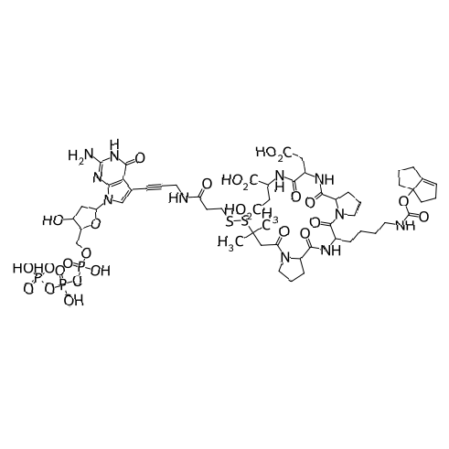 CC(C)(CC(=O)N1CCCC1C(=O)NC(CCCCNC(=O)OC12CCC=C1CCC2)C(=O)N1CCCC1C(=O)NC(CC(=O)O)C(=O)NC(CC(=O)O)C(=O)O)SSCCC(=O)NCC#Cc1cn(C2CC(O)C(COP(=O)(O)OP(=O)(O)OP(=O)(O)O)O2)c2nc(N)[nH]c(=O)c12